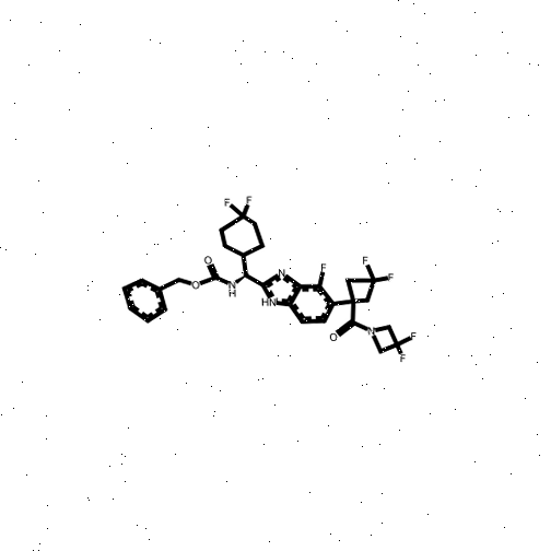 O=C(N[C@H](c1nc2c(F)c(C3(C(=O)N4CC(F)(F)C4)CC(F)(F)C3)ccc2[nH]1)C1CCC(F)(F)CC1)OCc1ccccc1